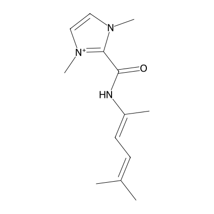 CC(C)=C/C=C(\C)NC(=O)c1n(C)cc[n+]1C